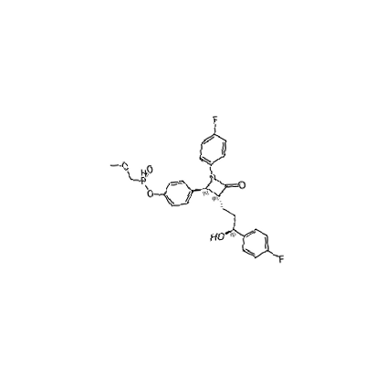 COC[PH](=O)Oc1ccc([C@@H]2[C@@H](CC[C@H](O)c3ccc(F)cc3)C(=O)N2c2ccc(F)cc2)cc1